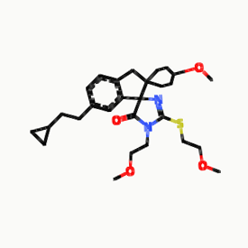 COCCSC1=NC2(C(=O)N1CCOC)c1cc(CCC3CC3)ccc1CC21CCC(OC)CC1